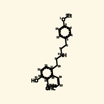 CCOc1ccc(CCNCCc2ccc(O)c(NC)c2/C=C\C=O)cc1